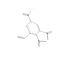 C=Cc1cc(C(=O)O)cc2c1C(=O)OC2=O